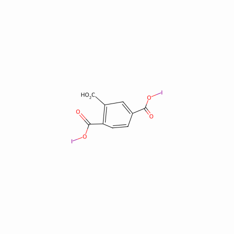 O=C(OI)c1ccc(C(=O)OI)c(C(=O)O)c1